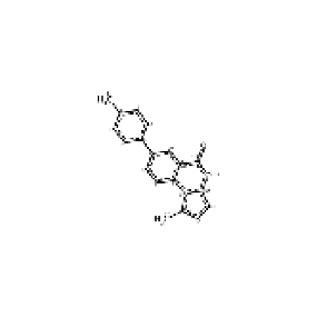 Cc1ccc(-c2ccc3c(c2)c(=O)oc2ccc(C)n23)cc1